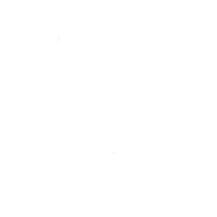 C[N+](C)(CCCS(=O)(=O)Cl)CCOC(=O)SCC(O)CO